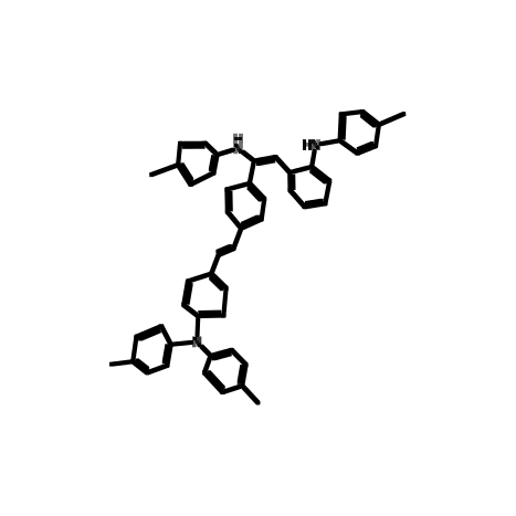 Cc1ccc(NC(=Cc2ccccc2Nc2ccc(C)cc2)c2ccc(C=Cc3ccc(N(c4ccc(C)cc4)c4ccc(C)cc4)cc3)cc2)cc1